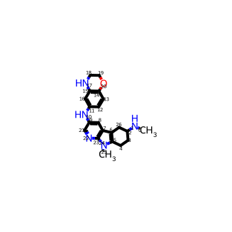 CNC1CCc2c(c3cc(Nc4ccc5c(c4)NCCO5)cnc3n2C)C1